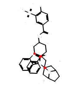 Cc1nc2ccccc2n1C1C[C@H]2CC[C@@H](C1)N2CCC1(c2ccccc2)CCC(NC(=O)c2ccc(Cl)c(S(N)(=O)=O)c2)CC1